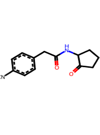 [C-]#[N+]c1ccc(CC(=O)NC2CCCC2=O)cc1